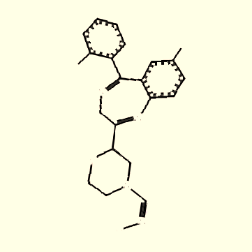 O/N=C\N1CCOC(C2=Nc3ccc(Cl)cc3C(c3ccccc3F)=NC2)C1